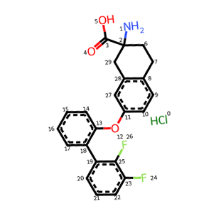 Cl.NC1(C(=O)O)CCc2ccc(Oc3ccccc3-c3cccc(F)c3F)cc2C1